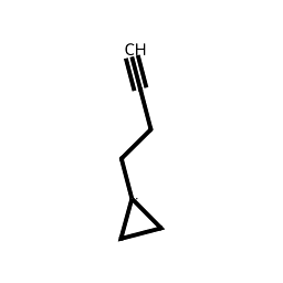 C#CCC[C]1CC1